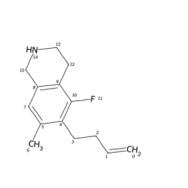 C=CCCc1c(C)cc2c(c1F)CCNC2